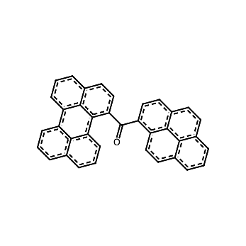 O=C(c1ccc2ccc3cccc4ccc1c2c34)c1ccc2cccc3c4cccc5cccc(c1c23)c54